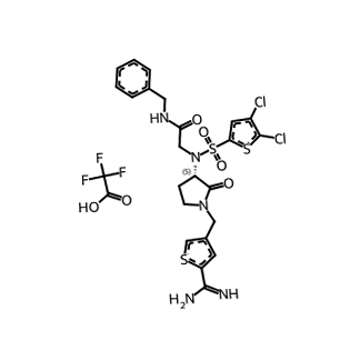 N=C(N)c1cc(CN2CC[C@H](N(CC(=O)NCc3ccccc3)S(=O)(=O)c3cc(Cl)c(Cl)s3)C2=O)cs1.O=C(O)C(F)(F)F